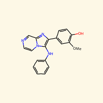 COc1cc(-c2nc3cnccn3c2Nc2ccccc2)ccc1O